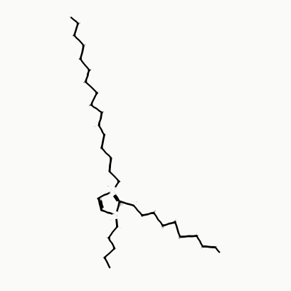 CCCCCCCCCCCCCCCC[n+]1ccn(CCCCC)c1CCCCCCCCCC